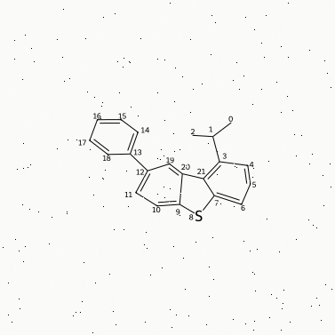 CC(C)c1cccc2sc3ccc(-c4ccccc4)cc3c12